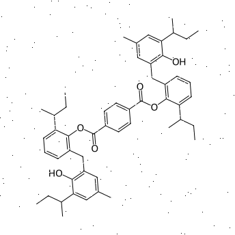 CCC(C)c1cc(C)cc(Cc2cccc(C(C)CC)c2OC(=O)c2ccc(C(=O)Oc3c(Cc4cc(C)cc(C(C)CC)c4O)cccc3C(C)CC)cc2)c1O